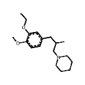 CCOc1cc(CC(C)CN2CCCCC2)ccc1OC